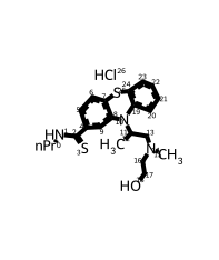 CCCNC(=S)c1ccc2c(c1)N(C(C)CN(C)CCO)c1ccccc1S2.Cl